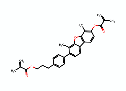 C=C(C)C(=O)OCCCc1ccc(-c2ccc3c(oc4c(C)c(OC(=O)C(=C)C)ccc43)c2C)cc1